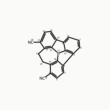 N#Cc1ccc2c3cccc4c5ccc(C#N)c6c5n(c2c1CC6)c34